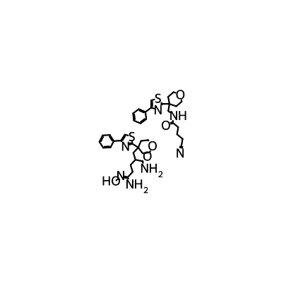 N#CCCCC(=O)NCC1(c2nc(-c3ccccc3)cs2)CCOCC1.NC(=O)C(CCC(N)=NO)CC1(c2nc(-c3ccccc3)cs2)CCOCC1